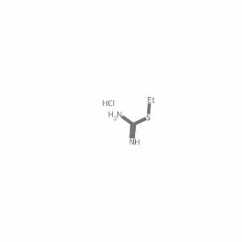 CCSC(=N)N.Cl